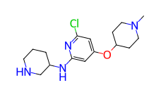 CN1CCC(Oc2cc(Cl)nc(NC3CCCNC3)c2)CC1